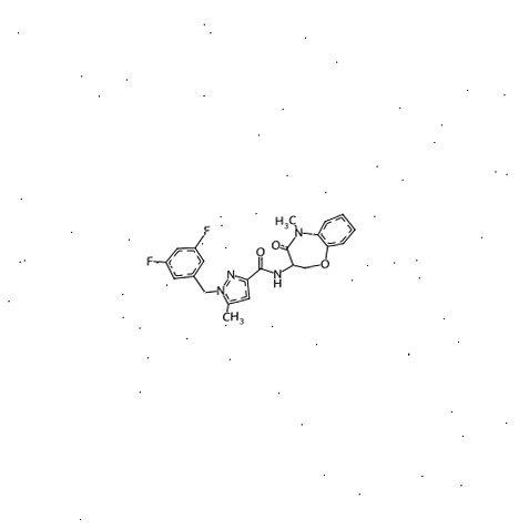 Cc1cc(C(=O)NC2COc3ccccc3N(C)C2=O)nn1Cc1cc(F)cc(F)c1